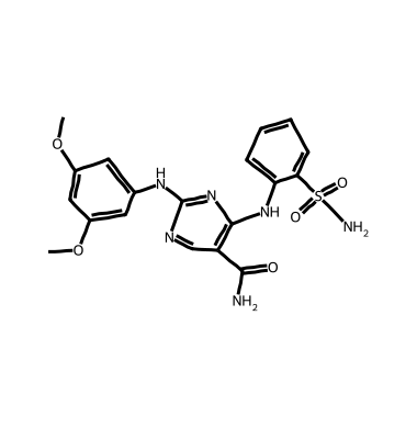 COc1cc(Nc2ncc(C(N)=O)c(Nc3ccccc3S(N)(=O)=O)n2)cc(OC)c1